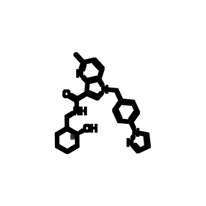 Cc1ccc2c(n1)c(C(=O)NCC1CCCC[C@@H]1O)cn2Cc1ccc(-n2cccn2)cc1